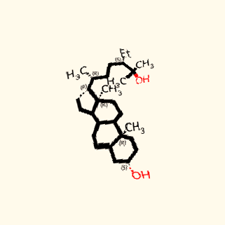 CC[C@@H](CC[C@@H](C)[C@H]1CCC2C3CC=C4C[C@@H](O)CC[C@]4(C)C3CC[C@@]21C)C(C)(C)O